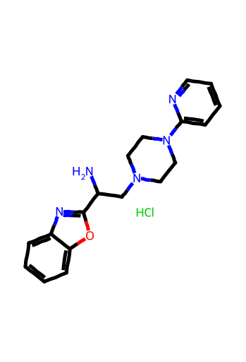 Cl.NC(CN1CCN(c2ccccn2)CC1)c1nc2ccccc2o1